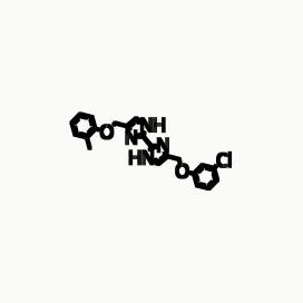 Cc1ccccc1OCc1c[nH]c(-c2nc(COc3cccc(Cl)c3)c[nH]2)n1